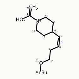 C=C(O)N1CCC(/C=C\CCOCCCC)CC1